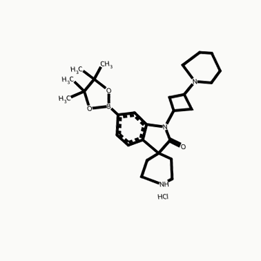 CC1(C)OB(c2ccc3c(c2)N(C2CC(N4CCCCC4)C2)C(=O)C32CCNCC2)OC1(C)C.Cl